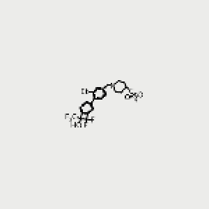 CCc1cc(CN2CCC(CS(C)(=O)=O)CC2)ccc1-c1ccc2c(c1)C(F)(F)C2(O)C(F)(F)F